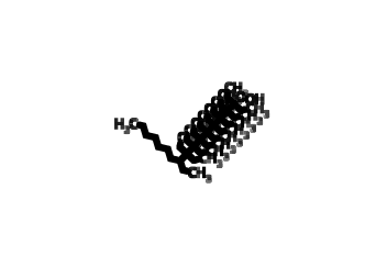 CCCCCCCC(CC)C(CC)(CC)C(CC)(CC)C(CC)(CC)C(CC)(CC)C(CC)(CC)C(CC)(CC)C(CC)(CC)C(CC)(CC)OO